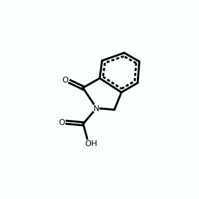 O=C(O)N1Cc2ccccc2C1=O